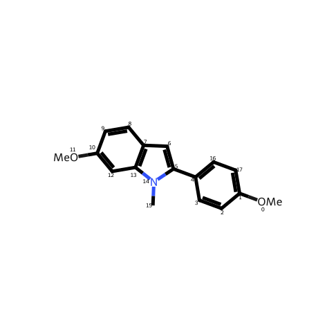 COc1ccc(-c2cc3ccc(OC)cc3n2C)cc1